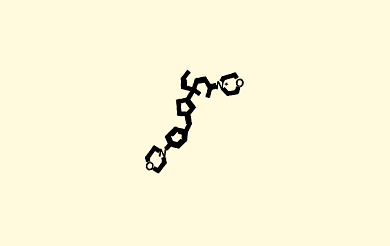 C/C=C\C(C)(/C=C\C(C)=[N+]1CCOCC1)C1=C/C(=C/c2ccc(N3CCOCC3)cc2)CC1